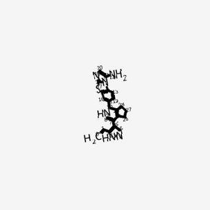 C=Cc1[nH]ncc1C1=CNC(c2ccc3c(c2)sc2ncc(N)n23)C2=C1CCC2